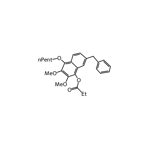 CCCCCOc1c(OC)c(OC)c(OC(=O)CC)c2cc(Cc3ccccc3)ccc12